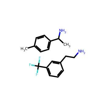 Cc1ccc(C(C)N)cc1.NCCc1cccc(C(F)(F)F)c1